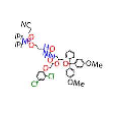 COc1ccc(C(OCC(CNC(=O)NCCCOP(OCCC#N)N(C(C)C)C(C)C)OC(=O)COc2ccc(Cl)cc2Cl)(c2ccccc2)c2ccc(OC)cc2)cc1